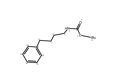 CC(C)(C)OC(=O)NCCCCc1ccccc1